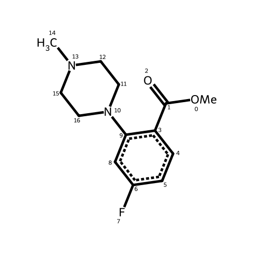 COC(=O)c1ccc(F)cc1N1CCN(C)CC1